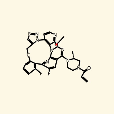 C=CC(=O)N1CCN(C2=NC3OC(C)c4nccc5c4N3c3nc(c(F)cc32)-c2c(F)cccc2CCc2cnnn2-5)[C@@H](C)C1